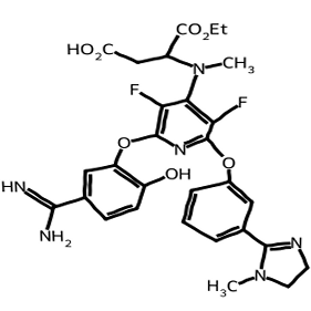 CCOC(=O)C(CC(=O)O)N(C)c1c(F)c(Oc2cccc(C3=NCCN3C)c2)nc(Oc2cc(C(=N)N)ccc2O)c1F